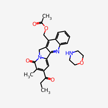 C1COCCN1.CCC(=O)c1cc2n(c(=O)c1C)Cc1c-2nc2ccccc2c1COC(C)=O